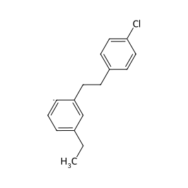 CCc1cc[c]c(CCc2ccc(Cl)cc2)c1